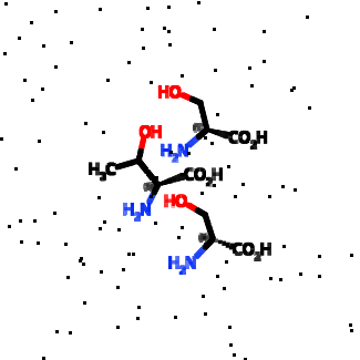 CC(O)[C@H](N)C(=O)O.N[C@@H](CO)C(=O)O.N[C@H](CO)C(=O)O